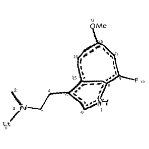 CCN(C)CCc1c[nH]c2c(F)cc(OC)cc12